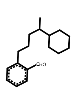 CC(CCCc1ccccc1C=O)C1CCCCC1